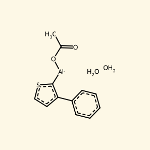 CC(=O)[O][Al][c]1sccc1-c1ccccc1.O.O